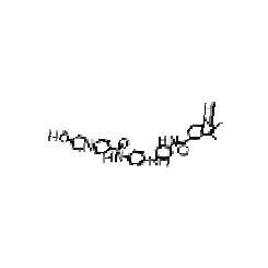 Cc1[nH]c2ccc(C(=O)Nc3ccc(Nc4ccc(NC(=O)c5ccc(N6CCC(O)CC6)cc5)cc4)cc3)cc2c1C